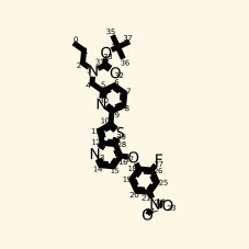 CCCN(Cc1cccc(-c2cc3nccc(Oc4ccc([N+](=O)[O-])cc4F)c3s2)n1)C(=O)OC(C)(C)C